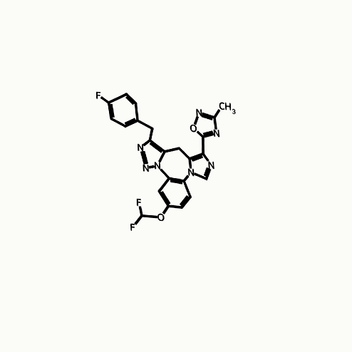 Cc1noc(-c2ncn3c2Cc2c(Cc4ccc(F)cc4)nnn2-c2cc(OC(F)F)ccc2-3)n1